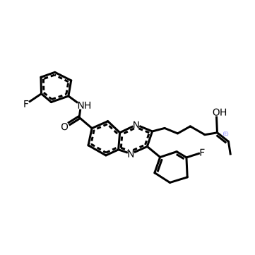 C/C=C(/O)CCCCc1nc2cc(C(=O)Nc3cccc(F)c3)ccc2nc1C1=CCCC(F)=C1